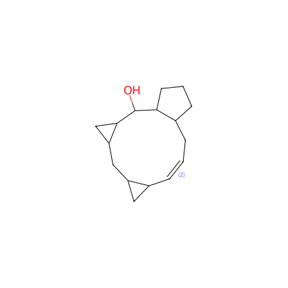 OC1C2CCCC2C/C=C\C2CC2CC2CC21